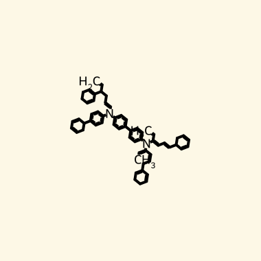 C=C/C(=C\C=C\C1C=CC=CC1)N(C(/C=C\CC1=CCCC=C1)=C/C)c1ccc(-c2ccc(N(/C=C/CC(C=C)C3=CCCC=C3)c3ccc(C4C=CC=CC4)cc3)cc2)cc1